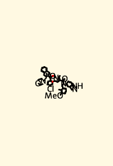 COc1cccc(CN(C(=O)c2cc(-c3cc(Cl)ccc3C(=O)N3Cc4ccccc4C[C@H]3CN3CCOCC3)n(C)c2C)c2ccc3[nH]ncc3c2)c1C